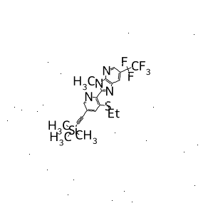 CCSc1cc(C#C[Si](C)(C)C)cnc1-c1nc2cc(C(F)(F)C(F)(F)F)cnc2n1C